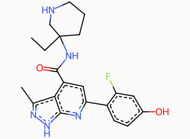 CCC1(NC(=O)c2cc(-c3ccc(O)cc3F)nc3[nH]nc(C)c23)CCCNC1